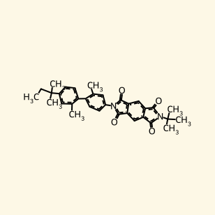 CCC(C)(C)c1ccc(-c2ccc(-n3c(=O)c4cc5c(=O)n(C(C)(C)C)c(=O)c5cc4c3=O)cc2C)c(C)c1